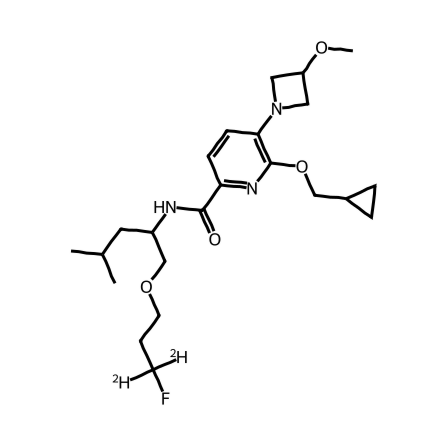 [2H]C([2H])(F)CCOCC(CC(C)C)NC(=O)c1ccc(N2CC(OC)C2)c(OCC2CC2)n1